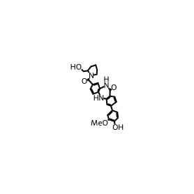 COc1cc(-c2ccc3c(c2)Nc2ccc(C(=O)N4CCCCC4CO)cc2NC3=O)ccc1O